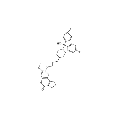 COc1cc2oc(=O)c3c(c2cc1OCCCN1CCC(C(O)(c2ccc(F)cc2)c2ccc(F)cc2)CC1)CCC3